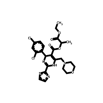 CCOC(=O)C(C)OC(=O)C1=C(CN2CCOCC2)NC(c2nccs2)=NC1c1ccc(Cl)cc1Cl